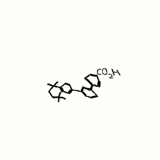 CC1(C)CCC(C)(C)c2cc(-c3cccc(-c4ccc(C(=O)O)cc4)c3)ccc21